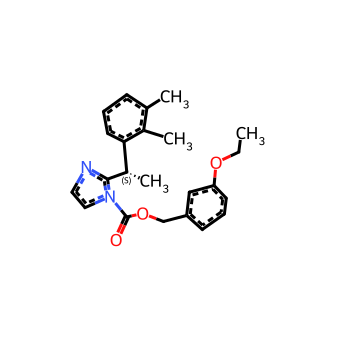 CCOc1cccc(COC(=O)n2ccnc2[C@@H](C)c2cccc(C)c2C)c1